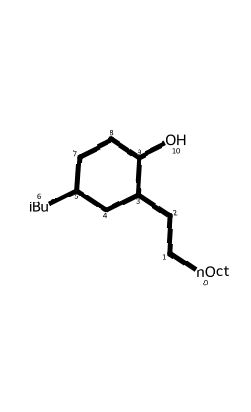 CCCCCCCCCCC1CC(C(C)CC)CCC1O